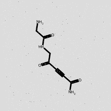 NCC(=O)NCC(=O)C#CC(N)=O